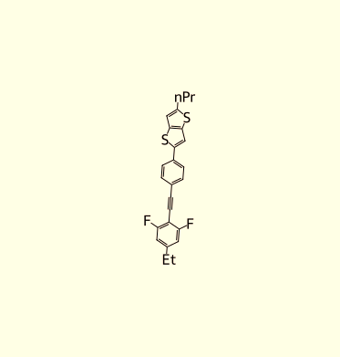 CCCc1cc2sc(-c3ccc(C#Cc4c(F)cc(CC)cc4F)cc3)cc2s1